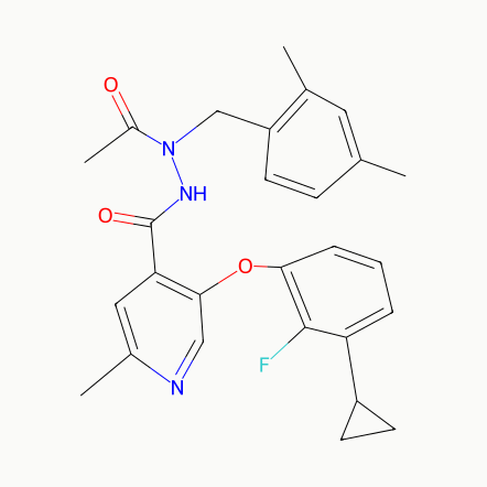 CC(=O)N(Cc1ccc(C)cc1C)NC(=O)c1cc(C)ncc1Oc1cccc(C2CC2)c1F